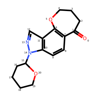 O=C1CCCOc2c1ccc1c2cnn1C1CCCCO1